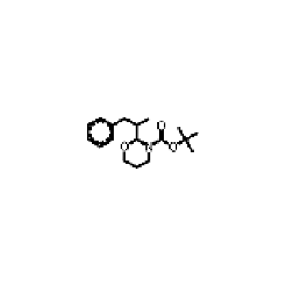 CC(Cc1ccccc1)C1OCCCN1C(=O)OC(C)(C)C